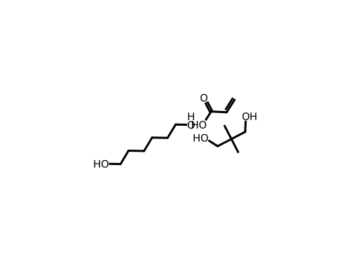 C=CC(=O)O.CC(C)(CO)CO.OCCCCCCO